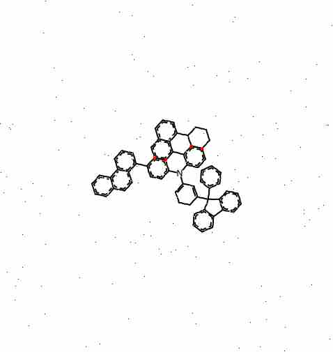 C1=C(N(c2ccc(-c3cccc4c3ccc3ccccc34)cc2)c2ccccc2-c2cccc3cccc(C4CCCCC4)c23)C=C(C2(c3ccccc3)c3ccccc3-c3ccccc32)CC1